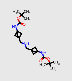 CC(C)(C)OC(=O)NC12CC(CNCC34CC(NC(=O)OC(C)(C)C)(C3)C4)(C1)C2